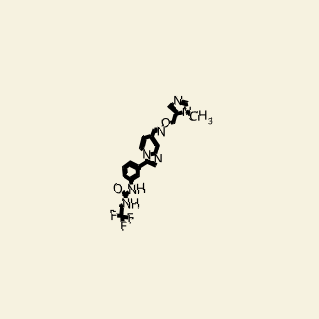 Cn1cncc1CON=Cc1ccn2c(-c3cccc(NC(=O)NCC(F)(F)F)c3)cnc2c1